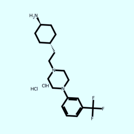 Cl.Cl.N[C@H]1CC[C@H](CCN2CCN(c3cccc(C(F)(F)F)c3)CC2)CC1